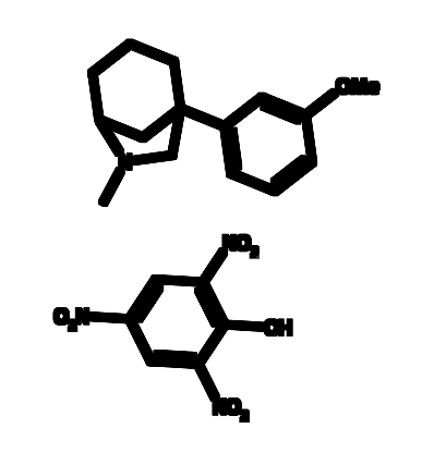 COc1cccc(C23CCCC(C2)N(C)C3)c1.O=[N+]([O-])c1cc([N+](=O)[O-])c(O)c([N+](=O)[O-])c1